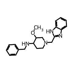 COC1CN(Cc2nc3ccccc3[nH]2)CCC1NCc1ccccc1